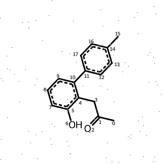 CC(=O)Cc1c(O)cccc1-c1ccc(C)cc1